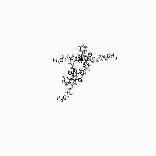 CCCCCCCCN1C(=O)C2=C(c3ccc(C4=CCC(C5=C6C(=O)N(CCCCCCCC)C(c7ccccc7)=C6C(=O)N5CCCCCCCC)S4)s3)N(CCCCCCCC)C(=O)C2=C1c1ccccc1